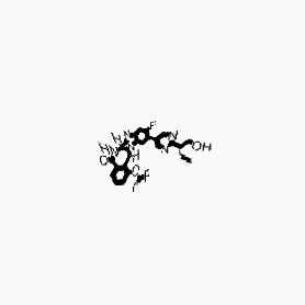 CC[C@@H](CO)c1ncc(-c2cc3c(cc2F)nc2n3[C@@H]3C[C@H]2NC(=O)c2cccc(OC(F)F)c23)cn1